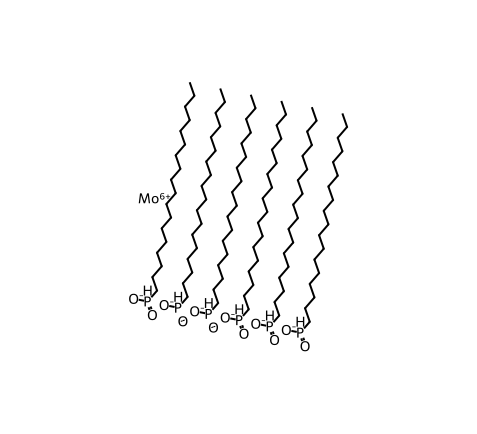 CCCCCCCCCCCCCCCCCC[PH](=O)[O-].CCCCCCCCCCCCCCCCCC[PH](=O)[O-].CCCCCCCCCCCCCCCCCC[PH](=O)[O-].CCCCCCCCCCCCCCCCCC[PH](=O)[O-].CCCCCCCCCCCCCCCCCC[PH](=O)[O-].CCCCCCCCCCCCCCCCCC[PH](=O)[O-].[Mo+6]